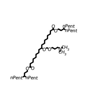 CCCCCC(CCCCC)CCOC(=O)CCCCCCCC(CCCCCCCC(=O)OCCC(CCCCC)CCCCC)OCOCCCN(C)C